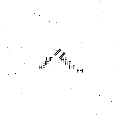 C=C.C=C.F.F.F.F.F.F.F